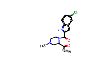 CNC(=O)C1CN(C)CCN1C(=O)c1cc2cc(Cl)ccc2[nH]1